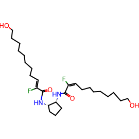 O=C(N[C@H]1CCC[C@H]1NC(=O)/C(F)=C\CCCCCCCCO)/C(F)=C/CCCCCCCCO